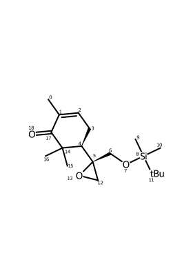 CC1=CC[C@@H]([C@]2(CO[Si](C)(C)C(C)(C)C)CO2)C(C)(C)C1=O